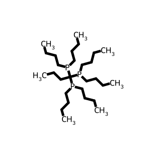 CCCCP(CCCC)C(CCC)(P(CCCC)CCCC)P(CCCC)CCCC